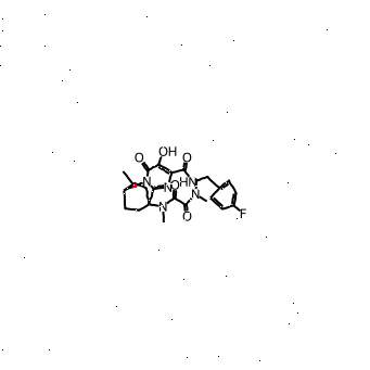 CC1C2CCC(N(C)C(=O)C(=O)N(C)C)(CC2)c2nc(C(=O)NCc3ccc(F)cc3)c(O)c(=O)n21